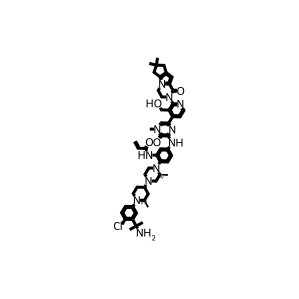 C=CC(=O)Nc1cc(Nc2nc(-c3ccnc(N4CCn5c(cc6c5CC(C)(C)C6)C4=O)c3CO)cn(C)c2=O)ccc1N1CCN(C2CCN(c3ccc(Cl)c(C(C)(C)N)c3)[C@H](C)C2)C[C@@H]1C